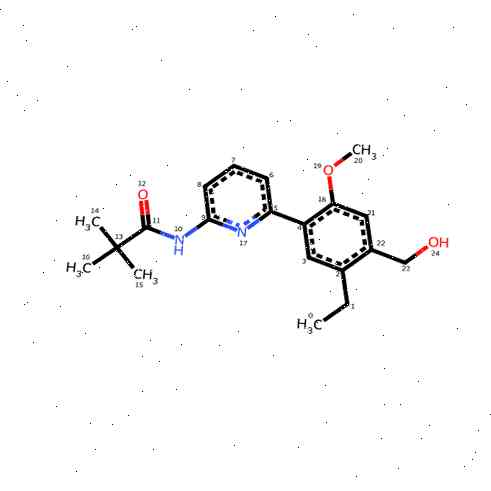 CCc1cc(-c2cccc(NC(=O)C(C)(C)C)n2)c(OC)cc1CO